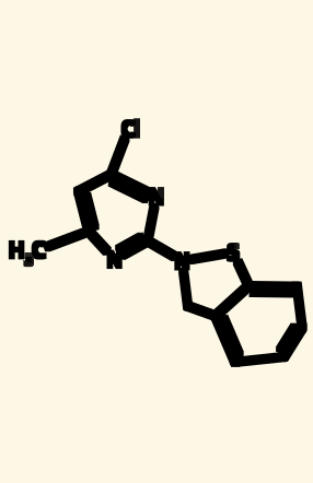 Cc1cc(Cl)nc(N2Cc3ccccc3S2)n1